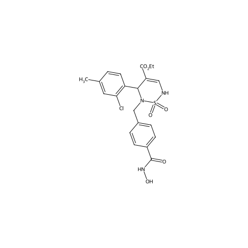 CCOC(=O)C1=CNS(=O)(=O)N(Cc2ccc(C(=O)NO)cc2)C1c1ccc(C)cc1Cl